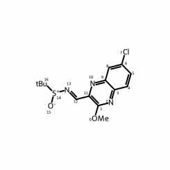 COc1nc2ccc(Cl)cc2nc1C=N[S+]([O-])C(C)(C)C